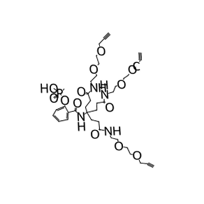 C#CCOCCOCCNC(=O)CCC(CCC(=O)NCCOCCOCC#C)(CCC(=O)NCCOCCOCC#C)NC(=O)c1ccccc1OP(C)(=O)O